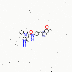 C=C1NCCC2=C1C=C(C(=O)Nc1ccc(CC(/C=C\C)=c3\cc(OC)c(CC)cc3=C)cc1)C(=C)N2c1ccccc1